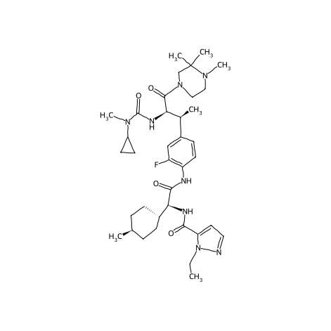 CCn1nccc1C(=O)N[C@H](C(=O)Nc1ccc([C@H](C)[C@@H](NC(=O)N(C)C2CC2)C(=O)N2CCN(C)C(C)(C)C2)cc1F)[C@H]1CC[C@H](C)CC1